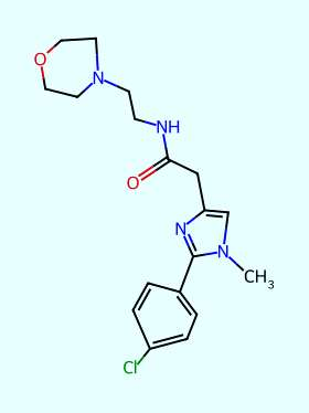 Cn1cc(CC(=O)NCCN2CCOCC2)nc1-c1ccc(Cl)cc1